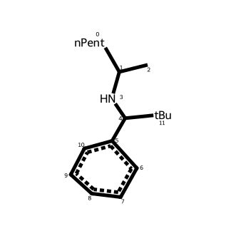 CCCCCC(C)NC(c1ccccc1)C(C)(C)C